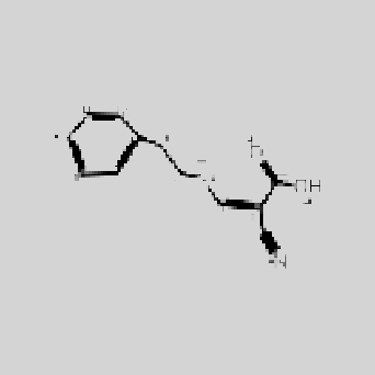 N#CC(=CNCCc1ccccc1)C(=O)O